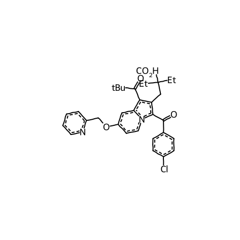 CCC(CC)(Cc1c(C(=O)C(C)(C)C)c2cc(OCc3ccccn3)ccn2c1C(=O)c1ccc(Cl)cc1)C(=O)O